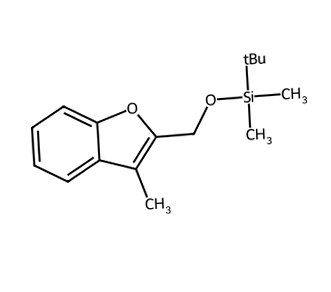 Cc1c(CO[Si](C)(C)C(C)(C)C)oc2ccccc12